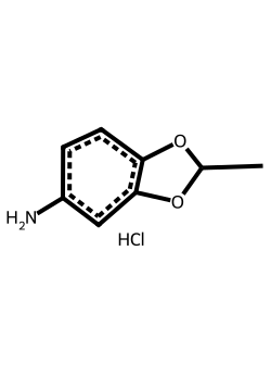 CC1Oc2ccc(N)cc2O1.Cl